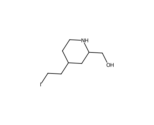 OCC1CC(CCI)CCN1